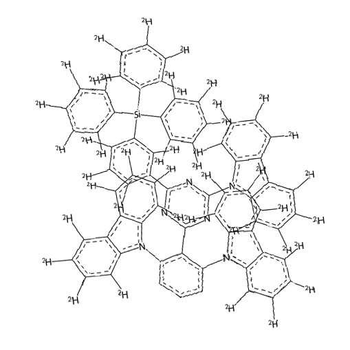 [2H]c1c([2H])c([2H])c([Si](c2c([2H])c([2H])c([2H])c([2H])c2[2H])(c2c([2H])c([2H])c([2H])c([2H])c2[2H])c2c([2H])c([2H])c([2H])c(-c3nc(-c4c(-n5c6c([2H])c([2H])c([2H])c([2H])c6c6c([2H])c([2H])c([2H])c([2H])c65)cccc4-n4c5c([2H])c([2H])c([2H])c([2H])c5c5c([2H])c([2H])c([2H])c([2H])c54)nc(-n4c5c([2H])c([2H])c([2H])c([2H])c5c5c([2H])c([2H])c([2H])c([2H])c54)n3)c2[2H])c([2H])c1[2H]